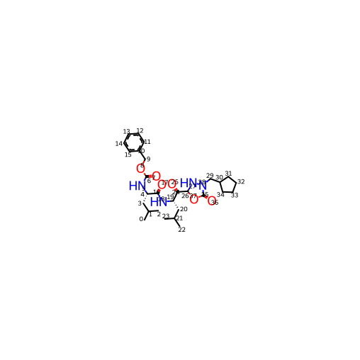 CC(C)C[C@H](NC(=O)OCc1ccccc1)C(=O)N[C@@H](CC(C)C)C(=O)C1NN(CC2CCCC2)C(=O)O1